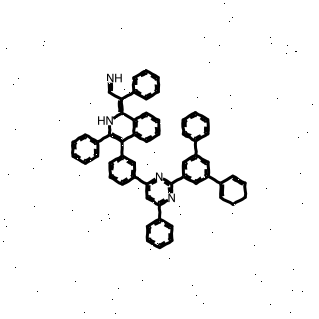 N=C/C(=C1\NC(c2ccccc2)=C(c2cccc(-c3cc(-c4ccccc4)nc(-c4cc(C5=CCCC=C5)cc(-c5ccccc5)c4)n3)c2)c2ccccc21)c1ccccc1